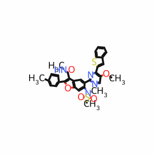 CNC(=O)c1c(-c2ccc(C)cc2)oc2cc(N(C)S(C)(=O)=O)c(-c3ncc(OC)c(-c4cc5ccccc5s4)n3)cc12